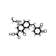 CCNn1cc(C(=O)O)c(=O)c2cc(Cc3cccc(Cl)c3Cl)ccc21